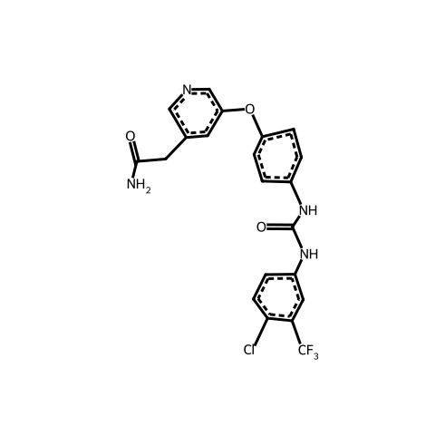 NC(=O)Cc1cncc(Oc2ccc(NC(=O)Nc3ccc(Cl)c(C(F)(F)F)c3)cc2)c1